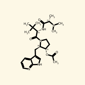 CC(=O)O[C@H]1CCN(C(=O)[C@@H](NC(=O)[C@H](C)N(C)C)C(C)(C)C)[C@@H]1Cc1c[nH]c2ncccc12